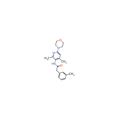 Cc1cccc(CC(=O)Nc2c(C)cc(N3CCOCC3)nc2C)c1